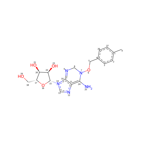 Cc1ccc(CON2CN=c3c(ncn3[C@@H]3O[C@H](CO)[C@@H](O)[C@H]3O)=C2N)cc1